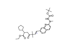 CCOC(=O)C(CC(=O)C(C)(C)/C=C/c1ccc2ccc(N(C)NC(=O)OC(C)(C)C)nc2c1)C1CCCC1